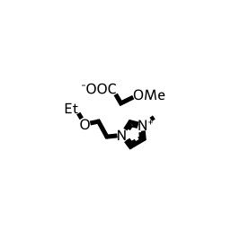 CCOCCn1cc[n+](C)c1.COCC(=O)[O-]